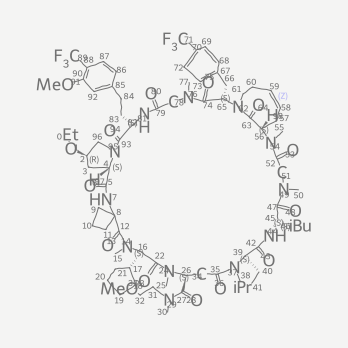 CCO[C@@H]1C[C@H]2C(=O)NC3(CCC3)C(=O)N(C)[C@@H](C3CCCC3)C(=O)N(C)[C@H](C(=O)N(C)CCOC)CC(=O)N(C)[C@@H](CC(C)C)C(=O)N[C@@H]([C@@H](C)CC)C(=O)N(C)CC(=O)N(C)[C@H]3C/C=C\CCN(C3=O)[C@@H](Cc3ccc(C(F)(F)F)cc3)C(=O)N(C)CC(=O)N[C@@H](CCc3ccc(C(F)(F)F)c(OC)c3)C(=O)N2C1